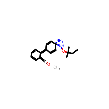 C.CCC(C)(C)ONC1(N)C=CC(=c2ccccc2=C=O)C=C1